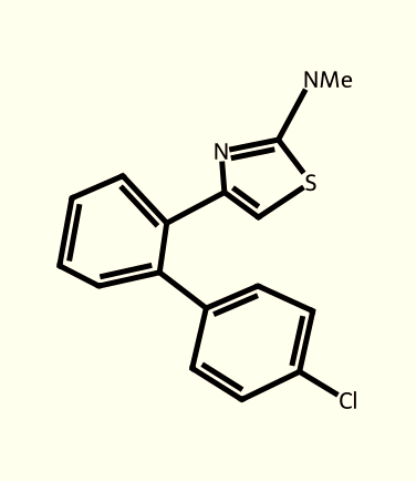 CNc1nc(-c2ccccc2-c2ccc(Cl)cc2)cs1